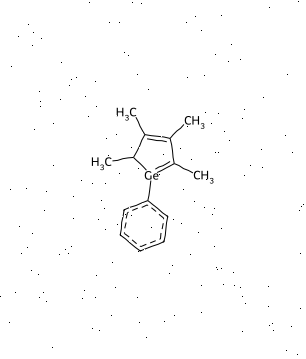 CC1=C(C)[CH](C)[Ge]([c]2ccccc2)=[C]1C